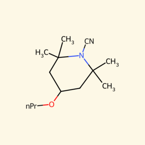 CCCOC1CC(C)(C)N(C#N)C(C)(C)C1